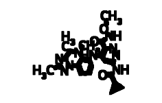 CCONC(=O)c1nnc(NC(=O)C2CC2)cc1Nc1cccc2c1N(C)C(C)c1nc(C)nn1-2